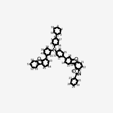 c1ccc(-c2ccc(N(c3ccc(-c4ccc5c(c4)oc4ccc6nc(-c7ccccc7)oc6c45)cc3)c3cccc(-c4cccc5c4oc4ccccc45)c3)cc2)cc1